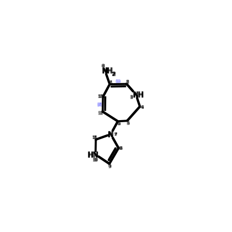 NC1=C/NCCC(N2C=CNC2)/C=C\1